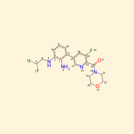 Nc1c(NCC(F)F)cccc1-c1cnc(C(=O)N2CCOCC2)c(F)c1